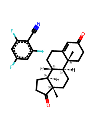 C[C@]12CCC(=O)C=C1CC[C@@H]1[C@@H]2CC[C@]2(C)C(=O)CC[C@@H]12.N#Cc1c(F)cc(F)cc1F